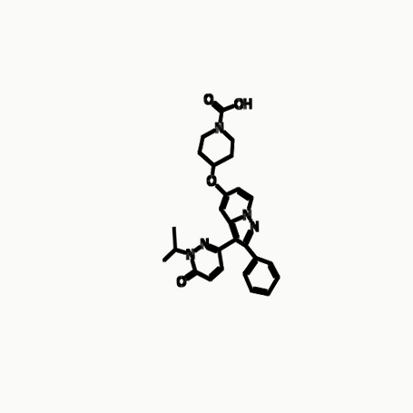 CC(C)n1nc(-c2c(-c3ccccc3)nn3ccc(OC4CCN(C(=O)O)CC4)cc23)ccc1=O